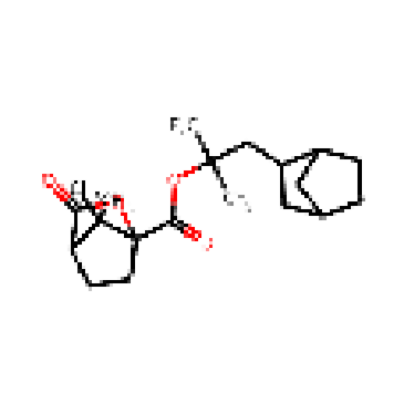 CC1(C)C2CCC1(C(=O)OC(CC1CC3CCC1C3)(C(F)(F)F)C(F)(F)F)OC2=O